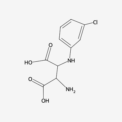 NC(C(=O)O)C(Nc1cccc(Cl)c1)C(=O)O